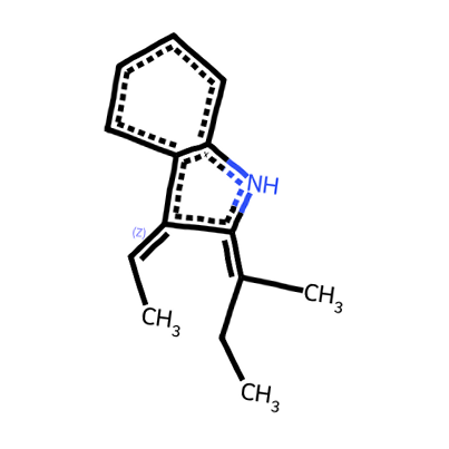 C/C=c1\c(=C(C)CC)[nH]c2ccccc12